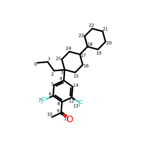 CCCC1(c2cc(F)c(C(C)=O)c(F)c2)CCC(C2CCCCC2)CC1